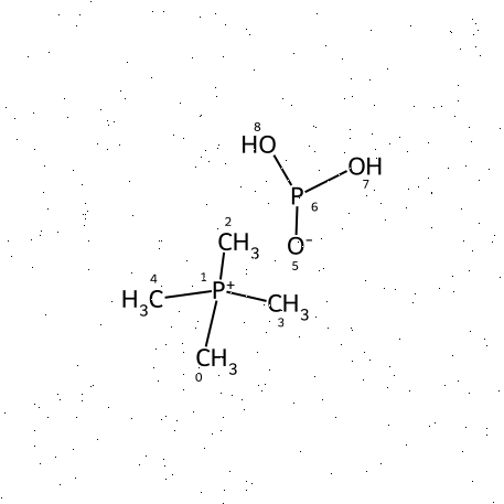 C[P+](C)(C)C.[O-]P(O)O